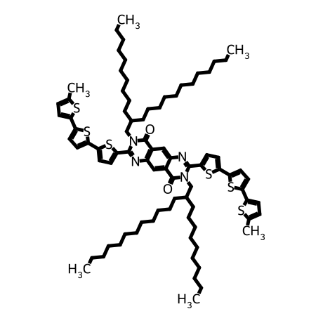 CCCCCCCCCCCCC(CCCCCCCCCC)Cn1c(-c2ccc(-c3ccc(-c4ccc(C)s4)s3)s2)nc2cc3c(=O)n(CC(CCCCCCCCCC)CCCCCCCCCCCC)c(-c4ccc(-c5ccc(-c6ccc(C)s6)s5)s4)nc3cc2c1=O